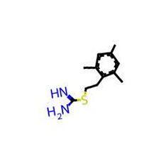 Cc1cc(C)c(CCSC(=N)N)c(C)c1